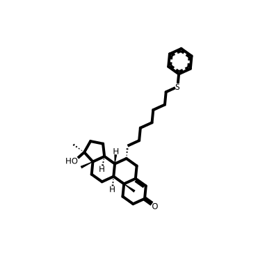 C[C@]12CCC(=O)C=C1C[C@@H](CCCCCCCSc1ccccc1)[C@@H]1[C@@H]2CC[C@@]2(C)[C@H]1CC[C@]2(C)O